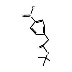 CC(C)(C)OC(=O)Cc1ccc([N+](=O)[O-])cc1